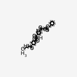 CCCCNC(=O)c1ccc(S(=O)(=O)NC(=O)c2ccc(C(=O)NCC(=O)OCc3ccccc3)nc2)cc1